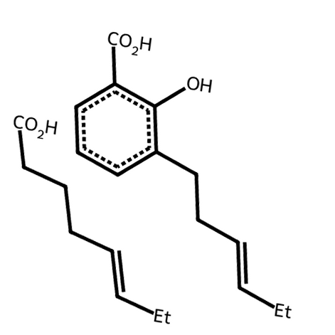 CC/C=C/CCCC(=O)O.CC/C=C/CCc1cccc(C(=O)O)c1O